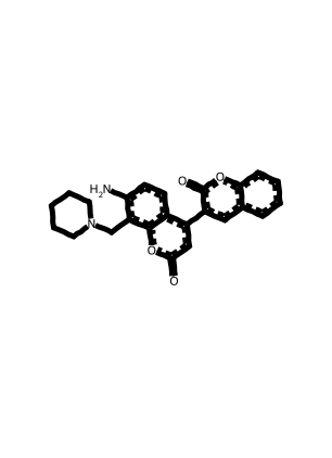 Nc1ccc2c(-c3cc4ccccc4oc3=O)cc(=O)oc2c1CN1CCCCC1